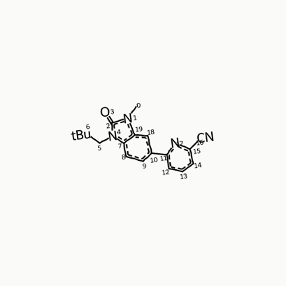 Cn1c(=O)n(CC(C)(C)C)c2ccc(-c3cccc(C#N)n3)cc21